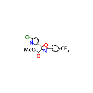 COC(=O)c1nc(-c2ccc(C(F)(F)F)cc2)oc1-c1ccc(Cl)nc1